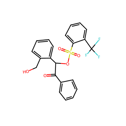 O=C(c1ccccc1)C(OS(=O)(=O)c1ccccc1C(F)(F)F)c1ccccc1CO